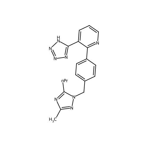 CCCc1nc(C)nn1Cc1ccc(-c2ncccc2-c2nnn[nH]2)cc1